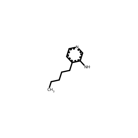 CCCCCc1ccncc1[NH]